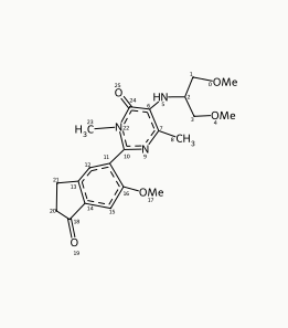 COCC(COC)Nc1c(C)nc(-c2cc3c(cc2OC)C(=O)CC3)n(C)c1=O